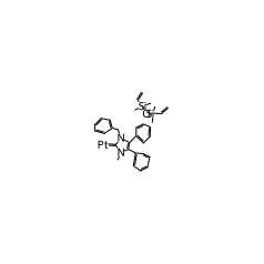 C=C[Si](C)(C)O[Si](C)(C)C=C.Cn1c(-c2ccccc2)c(-c2ccccc2)n(Cc2ccccc2)[c]1=[Pt]